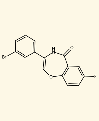 O=C1NC(c2cccc(Br)c2)=COc2ccc(F)cc21